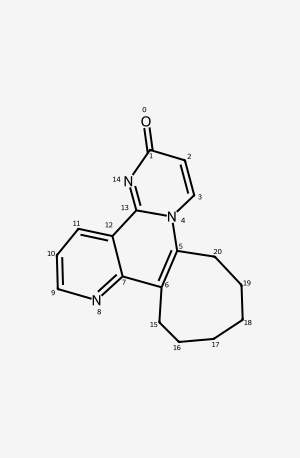 O=c1ccn2c3c(c4ncccc4c2n1)CCCCCC3